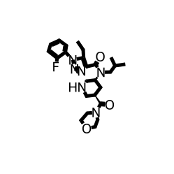 CCc1c(C(=O)N(CC(C)C)[C@@H]2CNC[C@H](C(=O)N3CCOCC3)C2)nnn1-c1ccccc1F